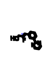 OC/C(F)=C/c1cccc(-c2ncccn2)c1